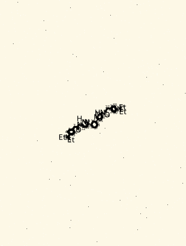 CCN(CC)c1ccc(CC(=O)Nc2ccc([C@H]3CCC[C@H](c4ccc(NC(=O)Cc5ccc(N(CC)CC)cc5)nn4)C3)nn2)cc1